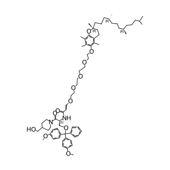 COc1ccc(C(OC[C@H](NC(=O)C=COCCOCCOCCOCCOc2c(C)c(C)c3c(c2C)CC[C@@](C)(CCC[C@H](C)CCC[C@H](C)CCCC(C)C)O3)C(=O)N2CCC(CO)CC2)(c2ccccc2)c2ccc(OC)cc2)cc1